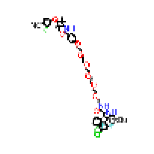 CC(C)(C)CC1NC(C(=O)NCCOCCOCCOCCOCCOCCOc2ccc(C(=O)N[C@H]3C(C)(C)[C@H](Oc4ccc(C#N)c(Cl)c4)C3(C)C)cc2)[C@H](c2cccc(Cl)c2F)[C@@]1(C#N)c1ccc(Cl)cc1F